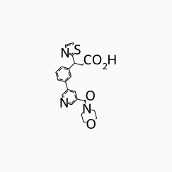 O=C(O)CC(c1cccc(-c2cncc(C(=O)N3CCOCC3)c2)c1)c1nccs1